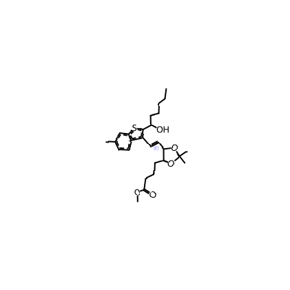 CCCCCC(O)c1sc2cc(C)ccc2c1/C=C/C1OC(C)(C)OC1CCCC(=O)OC